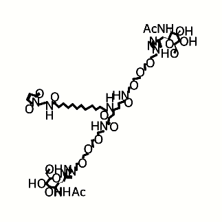 CC(=O)N[C@@H]1[C@@H](O)[C@@H](O)[C@@H](CO)O[C@@H]1Cc1cn(CCOCCOCCOCCNC(=O)CCC(CCC(=O)NCCOCCOCCOCCn2cc(C[C@H]3O[C@H](CO)[C@H](O)[C@H](O)[C@H]3NC(C)=O)nn2)NC(=O)CCCCCCCCCCC(=O)NCCN2C(=O)C=CC2=O)nn1